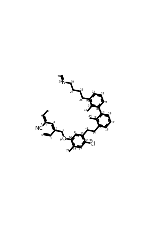 C=C/C(=C\C(C#N)=C/C)COc1cc(CCc2cccc(-c3cccc(CCCCN=C)c3C)c2C)c(Cl)cc1C